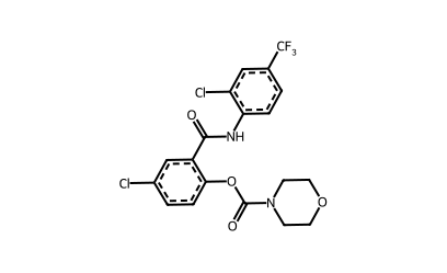 O=C(Nc1ccc(C(F)(F)F)cc1Cl)c1cc(Cl)ccc1OC(=O)N1CCOCC1